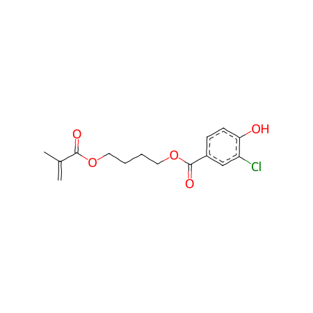 C=C(C)C(=O)OCCCCOC(=O)c1ccc(O)c(Cl)c1